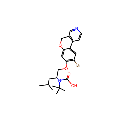 CC(C)CC(COc1cc2c(cc1Br)-c1ccncc1CO2)N(C(=O)O)C(C)(C)C